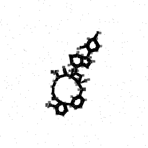 CN1CCCNc2c(cccc2C(F)(F)F)-c2cccc(n2)N[C@H]2C[C@@H](C1=O)N(c1ncnc3c1cnn3-c1ccc(F)cc1F)C2